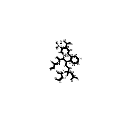 C=C/C(C)=N/C(=C)C1C(CCC(C)(C=C(C)C)/N=C(C)\C=C/C)c2ccccc2-c2cc(C(C)C)c([Si](C)(C)C)c[n+]21